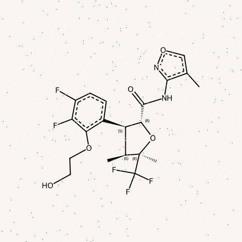 Cc1conc1NC(=O)[C@@H]1O[C@@](C)(C(F)(F)F)[C@@H](C)[C@H]1c1ccc(F)c(F)c1OCCO